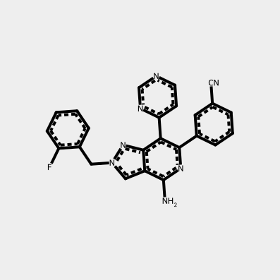 N#Cc1cccc(-c2nc(N)c3cn(Cc4ccccc4F)nc3c2-c2ccncn2)c1